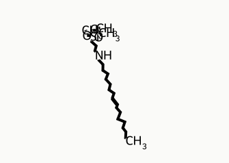 CCCCCCCCC=CCCCCCCCCNCCC[Si](OC)(OC)OC